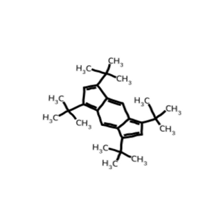 CC(C)(C)C1=CC(C(C)(C)C)=c2cc3c(cc21)=C(C(C)(C)C)C=C3C(C)(C)C